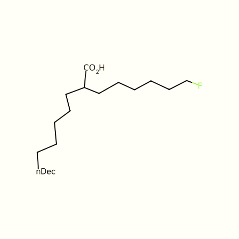 CCCCCCCCCCCCCCCC(CCCCCCF)C(=O)O